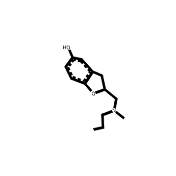 CCCN(C)CC1Cc2cc(O)ccc2O1